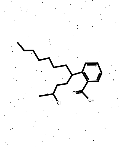 CCCCCCCC(CCC(C)Cl)c1ccc[c]c1C(=O)O